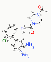 CC(=O)N1CCN(C(=O)/C=C/c2cc[c]c(Cl)c2-c2ccc(N)c(N)c2)CC1